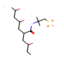 CCC(O)CC(CC(O)CC(C)O)C(=O)NC(C)(C)CS(=O)(=O)O